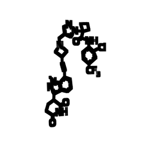 Cn1nc(C2CCC(=O)NC2=O)c2cccc(C#CC3CN(Cc4cnn(C5(C(=O)Nc6ccc(C(F)(F)F)cc6Cl)CCC5)c4)C3)c21